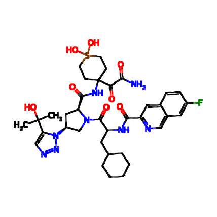 CC(C)(O)c1cnnn1[C@H]1C[C@@H](C(=O)NC2(C(=O)C(N)=O)CCS(O)(O)CC2)N(C(=O)C(CC2CCCCC2)NC(=O)c2cc3ccc(F)cc3cn2)C1